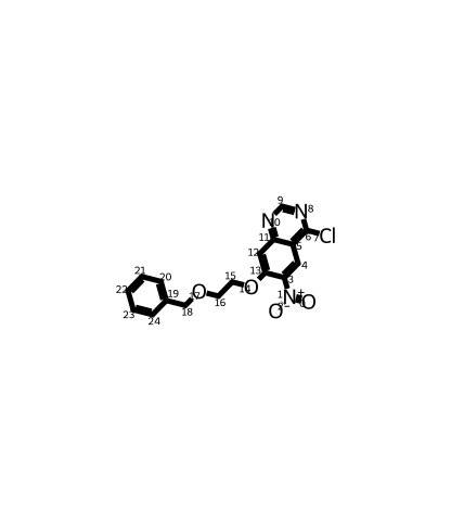 O=[N+]([O-])c1cc2c(Cl)ncnc2cc1OCCOCc1ccccc1